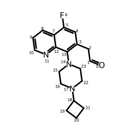 O=CCc1cc(F)c2cccnc2c1N1CCN(C2CCC2)CC1